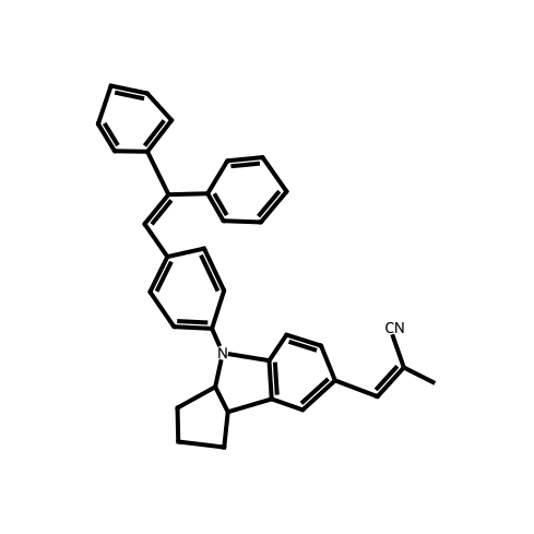 C/C(C#N)=C/c1ccc2c(c1)C1CCCC1N2c1ccc(C=C(c2ccccc2)c2ccccc2)cc1